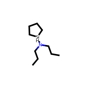 CCCN(CCC)[SiH]1CCCC1